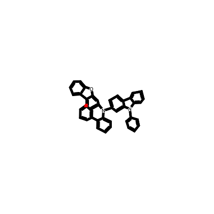 c1ccc(-c2ccccc2N(c2ccc3c(c2)oc2ccccc23)c2ccc3c4ccccc4n(-c4ccccc4)c3c2)cc1